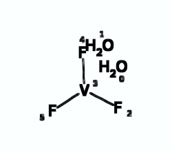 O.O.[F][V]([F])[F]